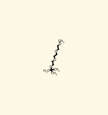 COCCOCCOCCOC(C)(C)C